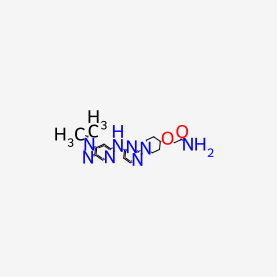 CC(C)n1cnc2cnc(Nc3ccnc(N4CCC(OCC(N)=O)CC4)n3)cc21